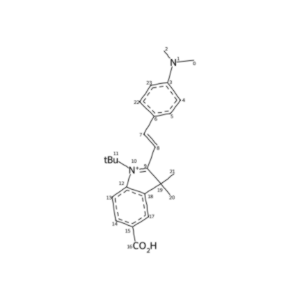 CN(C)c1ccc(/C=C/C2=[N+](C(C)(C)C)c3ccc(C(=O)O)cc3C2(C)C)cc1